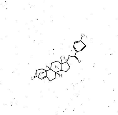 C[C@]12CCC(=O)C=C1CC[C@@H]1[C@H]2CC[C@]2(C)C(OC(=O)c3ccc(C(F)(F)F)cc3)CC[C@@H]12